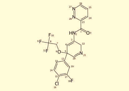 O=C(NC1=CC(OCC(F)(F)F)(c2ccc(Cl)c(F)c2)C=NC1)c1cccnn1